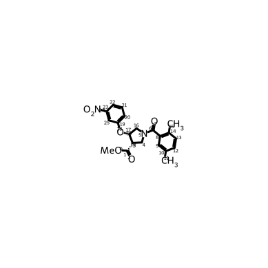 COC(=O)[C@H]1CN(C(=O)c2cc(C)ccc2C)C[C@@H]1Oc1cccc([N+](=O)[O-])c1